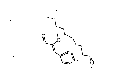 CCCCCCCCCC=O.COC(C=O)=Cc1ccccc1